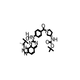 C[C@@H](n1nnc2ccc3cnc(Nc4ccc(C(=O)N5CC[C@H](NC(=O)OC(C)(C)C)C5)cc4)nc3c21)C(C)(C)O